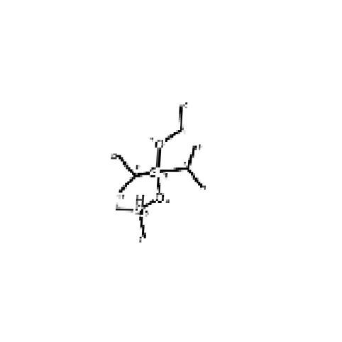 CCO[Si](O[SiH](C)C)(C(C)C)C(C)C